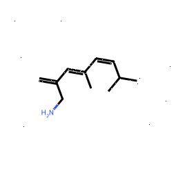 C=C(/C=C(C)/C=C\C(C)C)CN